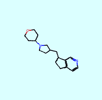 c1cc2c(cn1)C(CC1CCN(C3CCOCC3)C1)CC2